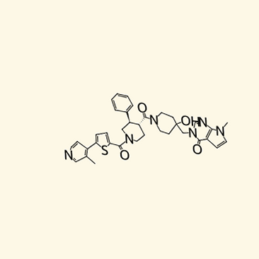 Cc1cnccc1-c1ccc(C(=O)N2CC[C@@H](C(=O)N3CCC(O)(Cn4cnc5c(ccn5C)c4=O)CC3)[C@H](c3ccccc3)C2)s1